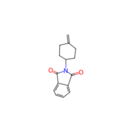 C=C1CCC(N2C(=O)c3ccccc3C2=O)CC1